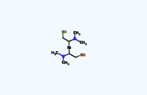 CN(C)[CH](CS)[Ni][CH](CS)N(C)C